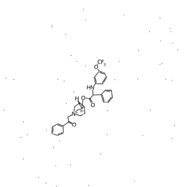 O=C(C[N+]12CCC(CC1)[C@@H](OC(=O)C(Nc1cccc(OC(F)(F)F)c1)c1ccccc1)C2)c1ccccc1